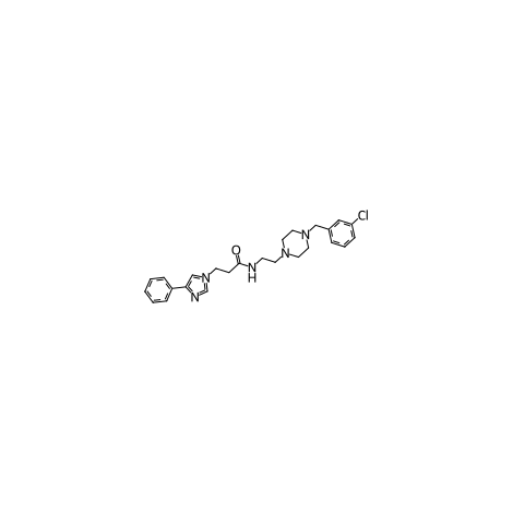 O=C(CCn1cnc(-c2ccccc2)c1)NCCN1CCN(Cc2cccc(Cl)c2)CC1